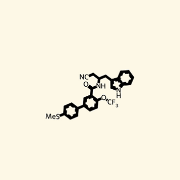 CSc1ccc(-c2ccc(OC(F)(F)F)c(C(=O)NC(CC#N)Cc3c[nH]c4ccccc34)c2)cc1